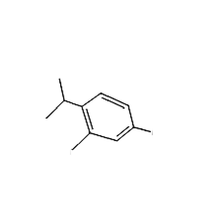 C[C](C)c1ccc(I)cc1I